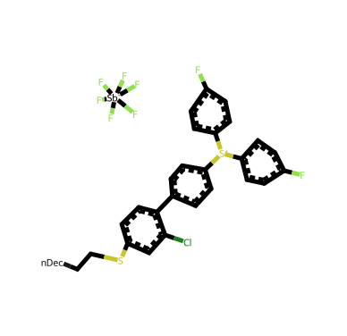 CCCCCCCCCCCCSc1ccc(-c2ccc([S+](c3ccc(F)cc3)c3ccc(F)cc3)cc2)c(Cl)c1.[F][Sb-]([F])([F])([F])([F])[F]